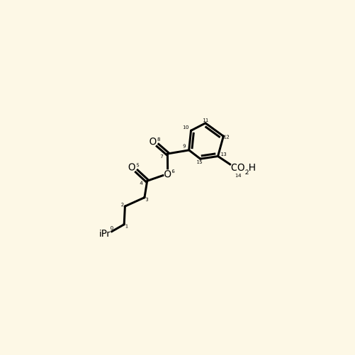 CC(C)CCCC(=O)OC(=O)c1cccc(C(=O)O)c1